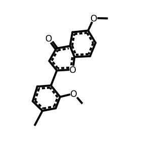 COc1ccc2oc(-c3ccc(C)cc3OC)cc(=O)c2c1